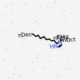 CCCCCCCCCCCCCCCCCCC(CCCCC)c1[nH]cc[n+]1C(C)CCCCCCCC